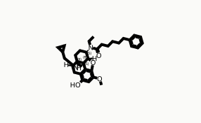 CCN(C(=O)CCCCCc1ccccc1)[C@H]1CC[C@H]2[C@H]3Cc4c(O)cc(OC)c5c4[C@@]2(CCN3CC2CC2)[C@H]1O5